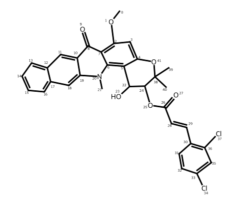 COc1cc2c(c3c1c(=O)c1cc4ccccc4cc1n3C)C(O)C(OC(=O)/C=C/c1ccc(Cl)cc1Cl)C(C)(C)O2